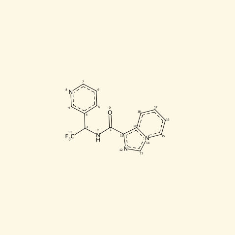 O=C(NC(c1cccnc1)C(F)(F)F)c1ncn2ccccc12